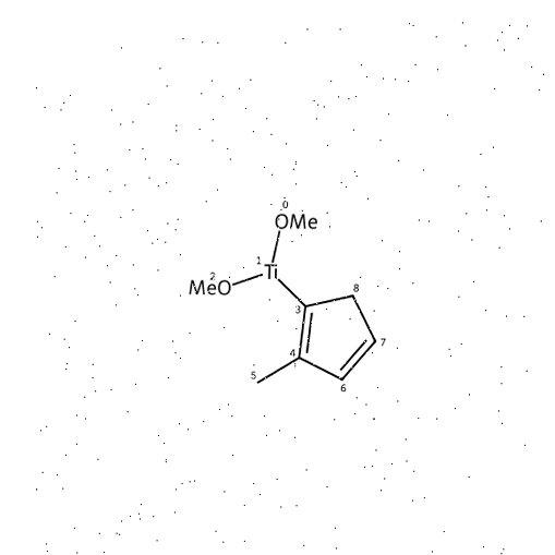 C[O][Ti]([O]C)[C]1=C(C)C=CC1